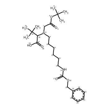 CC(C)(C)OC(=O)CN(CCCCCCNC(=O)OCc1ccccc1)C(C(=O)O)C(C)(C)C